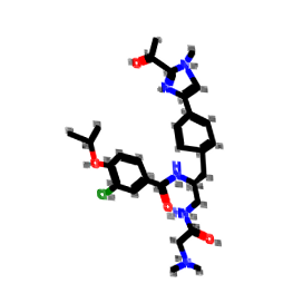 CC(=O)c1nc(-c2ccc(C[C@@H](CNC(=O)CN(C)C)NC(=O)c3ccc(OC(C)C)c(Cl)c3)cc2)cn1C